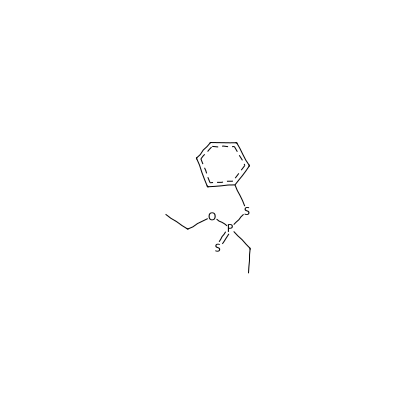 CCOP(=S)(CC)Sc1ccccc1